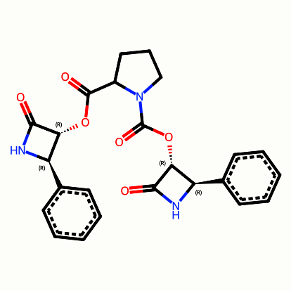 O=C(O[C@H]1C(=O)N[C@@H]1c1ccccc1)C1CCCN1C(=O)O[C@H]1C(=O)N[C@@H]1c1ccccc1